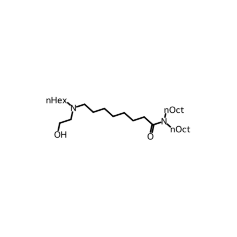 CCCCCCCCN(CCCCCCCC)C(=O)CCCCCCCN(CCO)CCCCCC